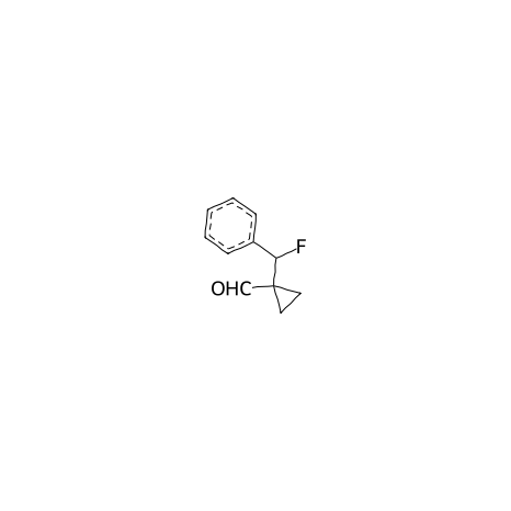 O=CC1(C(F)c2ccccc2)CC1